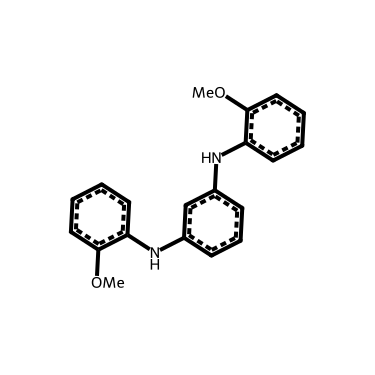 COc1ccccc1Nc1cccc(Nc2ccccc2OC)c1